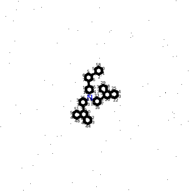 c1ccc(-c2cccc(-c3ccc(N(c4cccc(-c5cc6ccccc6c6ccccc56)c4)c4cccc(-c5cc6ccccc6c6ccccc56)c4)cc3)c2)cc1